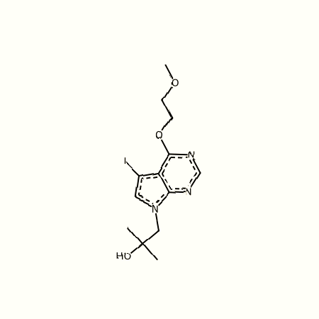 COCCOc1ncnc2c1c(I)cn2CC(C)(C)O